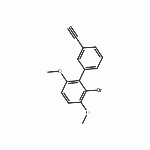 C#Cc1cccc(-c2c(OC)ccc(OC)c2Br)c1